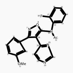 COc1cccc(-c2noc(N(C(C)=O)c3ccccc3F)c2-c2ccncn2)c1